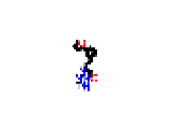 CN(C)/C=N\c1nc(CCc2cccc(-c3ccco3)c2)cc(=O)[nH]1